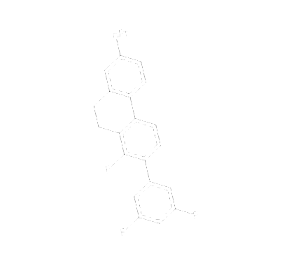 CCCc1ccc2c(c1)CCc1c-2ccc(-c2cc(F)cc(F)c2)c1F